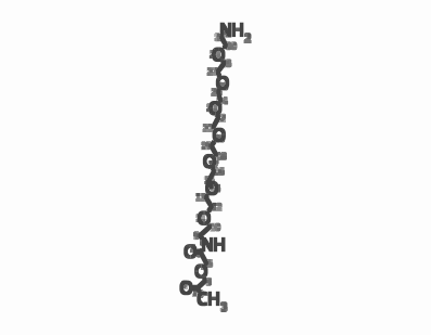 CC(=O)COCC(=O)NCCOCCOCCOCCOCCOCCOCCOCCN